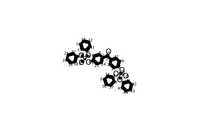 O=C(c1ccc(OP(=O)(Oc2ccccc2)Oc2ccccc2)cc1)c1ccc(OP(=O)(Oc2ccccc2)Oc2ccccc2)cc1